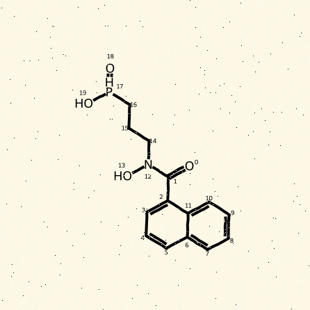 O=C(c1cccc2ccccc12)N(O)CCC[PH](=O)O